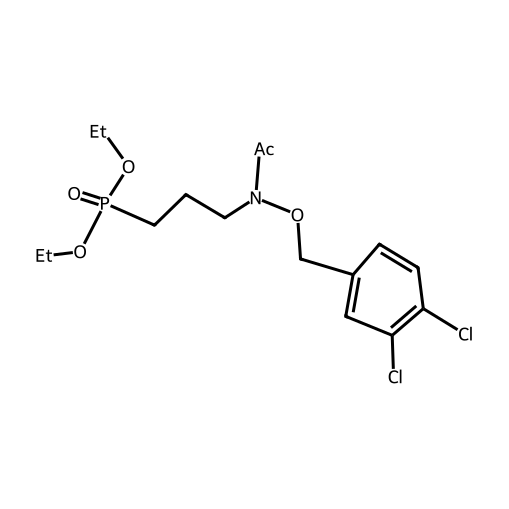 CCOP(=O)(CCCN(OCc1ccc(Cl)c(Cl)c1)C(C)=O)OCC